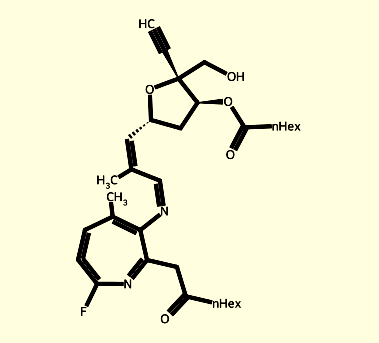 C#C[C@]1(CO)O[C@@H](/C=C(C)\C=N/C2=C(C)C=C=C(F)N=C2CC(=O)CCCCCC)C[C@@H]1OC(=O)CCCCCC